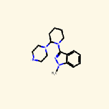 Cn1nc(N2CCCCC2N2CCNCC2)c2ccccc21